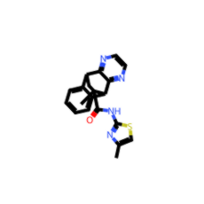 Cc1csc(NC(=O)C2(C)CC3c4ccccc4C2c2nccnc23)n1